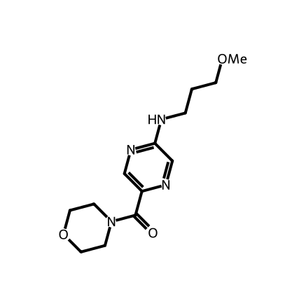 COCCCNc1cnc(C(=O)N2CCOCC2)cn1